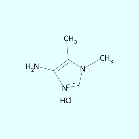 Cc1c(N)ncn1C.Cl